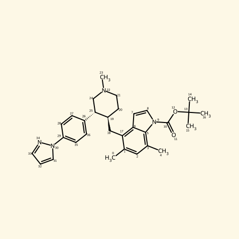 Cc1cc(C)c2c(ccn2C(=O)OC(C)(C)C)c1C[C@@H]1CCN(C)C[C@H]1c1ccc(-n2cccn2)cc1